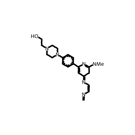 C=N/C=C\N=C1\C=C(c2ccc(N3CCN(CCO)CC3)cc2)N=C(NC)C1